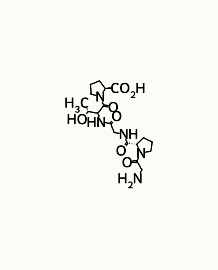 C[C@@H](O)[C@H](NC(=O)CNC(=O)[C@@H]1CCCN1C(=O)CN)C(=O)N1CCC[C@H]1C(=O)O